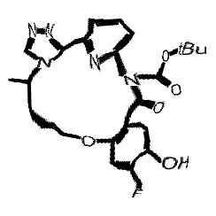 CC1CCCOc2cc(F)c(O)cc2C(=O)N(C(=O)OC(C)(C)C)c2cccc(n2)-c2nncn21